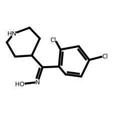 ON=C(c1ccc(Cl)cc1Cl)C1CCNCC1